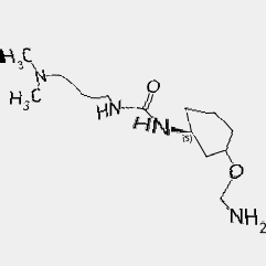 CN(C)CCCNC(=O)N[C@H]1CCCC(OCN)C1